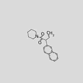 C=CC(c1ccc2ccccc2c1)S(=O)(=O)N1CCCCC1